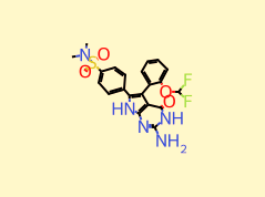 CN(C)S(=O)(=O)c1ccc(-c2[nH]c3nc(N)[nH]c(=O)c3c2-c2ccccc2OC(F)F)cc1